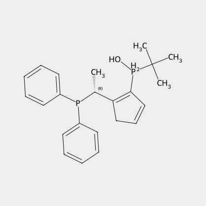 C[C@H](C1=C([PH2](O)C(C)(C)C)C=CC1)P(c1ccccc1)c1ccccc1